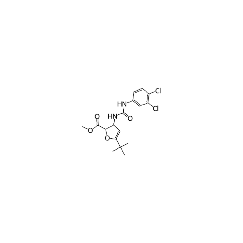 COC(=O)C1OC(C(C)(C)C)=CC1NC(=O)Nc1ccc(Cl)c(Cl)c1